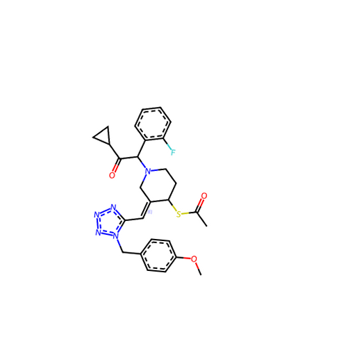 COc1ccc(Cn2nnnc2/C=C2\CN(C(C(=O)C3CC3)c3ccccc3F)CCC2SC(C)=O)cc1